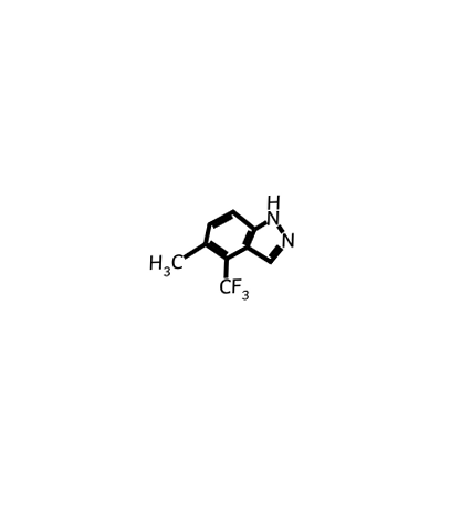 Cc1ccc2[nH]ncc2c1C(F)(F)F